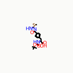 CN/C(=N\C(=O)c1ccc(CC(NC(=O)OC(C)(C)C)C(=O)O)cc1)SC